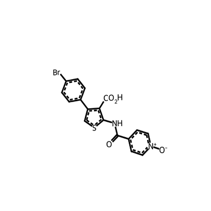 O=C(Nc1scc(-c2ccc(Br)cc2)c1C(=O)O)c1cc[n+]([O-])cc1